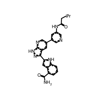 CC(C)CC(=O)Nc1cncc(-c2cnc3[nH]nc(-c4cc5c(C(N)=O)cccc5[nH]4)c3c2)c1